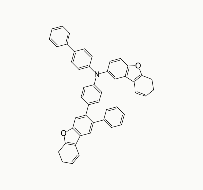 C1=Cc2c(oc3ccc(N(c4ccc(-c5ccccc5)cc4)c4ccc(-c5cc6oc7c(c6cc5-c5ccccc5)C=CCC7)cc4)cc23)CC1